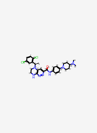 C[C@H](c1cc(Cl)ccc1Cl)N1CCNc2nnc(C(=O)Nc3ccc(N4CCC(N(C)C)CC4)cc3)cc21